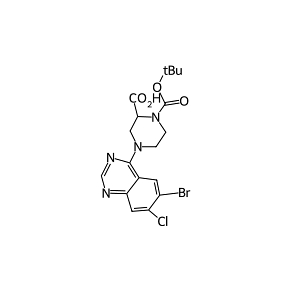 CC(C)(C)OC(=O)N1CCN(c2ncnc3cc(Cl)c(Br)cc23)CC1C(=O)O